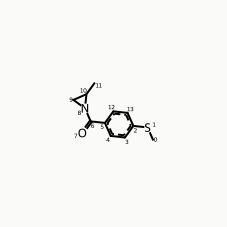 CSc1ccc(C(=O)N2CC2C)cc1